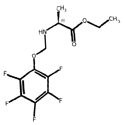 CCOC(=O)[C@H](C)NCOc1c(F)c(F)c(F)c(F)c1F